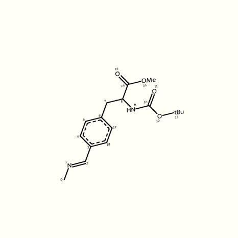 C/N=C/c1ccc(CC(NC(=O)OC(C)(C)C)C(=O)OC)cc1